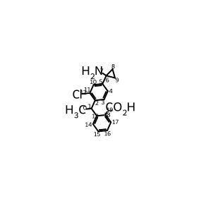 CC(c1ccc(C2(N)CC2)cc1Cl)c1ccccc1C(=O)O